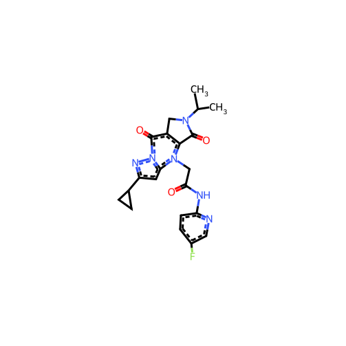 CC(C)N1Cc2c(n(CC(=O)Nc3ccc(F)cn3)c3cc(C4CC4)nn3c2=O)C1=O